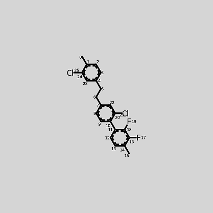 Cc1ccc(CCc2ccc(-c3ccc(C)c(F)c3F)c(Cl)c2)cc1Cl